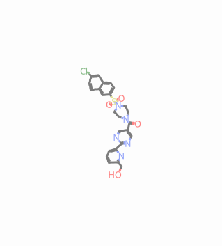 O=C(c1cnc(-c2cccc(CO)n2)nc1)N1CCN(S(=O)(=O)c2ccc3cc(Cl)ccc3c2)CC1